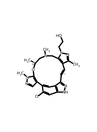 Cc1nn(CCO)c2c1/C=C/c1n[nH]c3cc(Cl)c(cc13)-c1cnn(C)c1O[C@@H](C)CN(C)C2